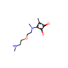 CNCCOCCN(C)c1c(C)c(=O)c1=O